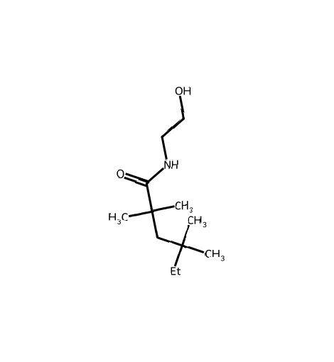 CCC(C)(C)CC(C)(C)C(=O)NCCO